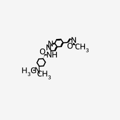 Cc1ncc(-c2ccc3nnc(NC(=O)[C@H]4CC[C@H](N(C)C)CC4)cc3c2)o1